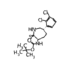 CC(C)(C)OC(=O)N[C@@H]1CC[C@@H](c2cccc(Cl)c2Cl)CNC1=S